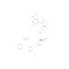 Cl.O=C1COc2ccc(N3CC(CCCNCC4Cc5cccc(Cl)c5C4)OC3=O)nc2N1.O=C1COc2ccc(N3CC(CCNC4Cc5cccc(Cl)c5C4)OC3=O)nc2N1.O=CO